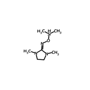 CN1CCN(C)C1=NO[SiH](C)C